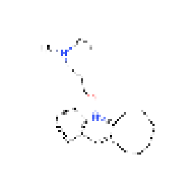 CN(C)CCCON=C1CCCCCCC1=Cc1ccccc1